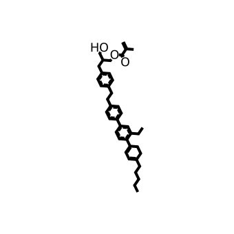 C=C(C)C(=O)OCC(CO)Cc1ccc(CCc2ccc(-c3ccc(C4=CC=C(CCCCC)CC4)c(CC)c3)cc2)cc1